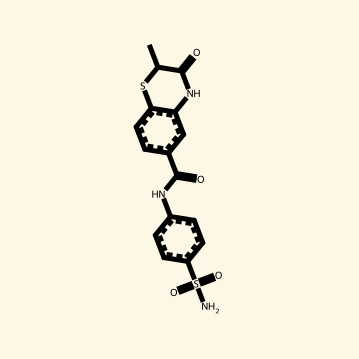 CC1Sc2ccc(C(=O)Nc3ccc(S(N)(=O)=O)cc3)cc2NC1=O